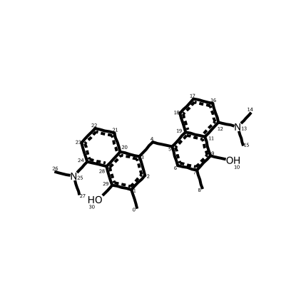 Cc1cc(Cc2cc(C)c(O)c3c(N(C)C)cccc23)c2cccc(N(C)C)c2c1O